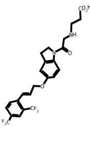 O=C(O)CCNCC(=O)N1CCc2cc(OC/C=C/c3ccc(C(F)(F)F)cc3C(F)(F)F)ccc21